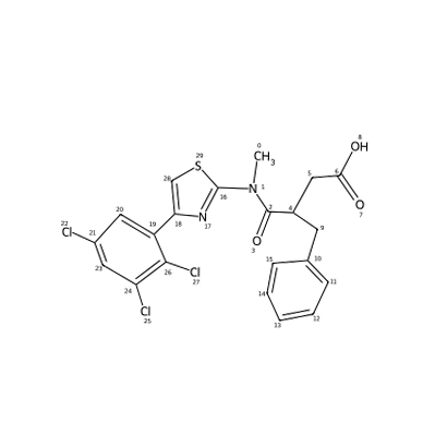 CN(C(=O)C(CC(=O)O)Cc1ccccc1)c1nc(-c2cc(Cl)cc(Cl)c2Cl)cs1